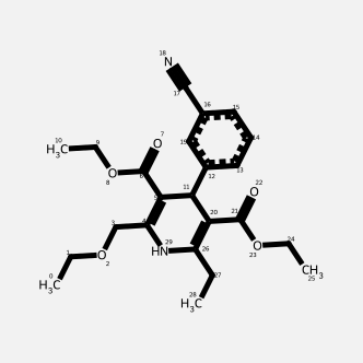 CCOCC1=C(C(=O)OCC)C(c2cccc(C#N)c2)C(C(=O)OCC)=C(CC)N1